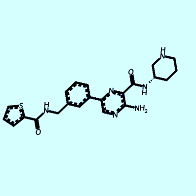 Nc1ncc(-c2cccc(CNC(=O)c3cccs3)c2)nc1C(=O)N[C@H]1CCCNC1